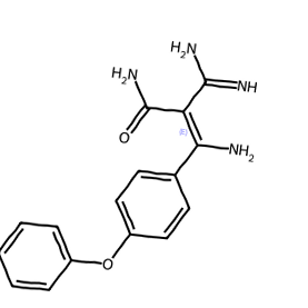 N=C(N)/C(C(N)=O)=C(\N)c1ccc(Oc2ccccc2)cc1